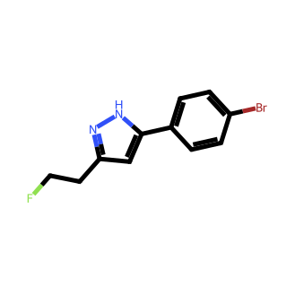 FCCc1cc(-c2ccc(Br)cc2)[nH]n1